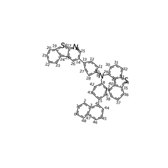 c1ccc2c(-c3ccc(N(c4ccc(-c5cnc6sc7ccccc7c6c5)cc4)c4cccc5sc6ccccc6c45)cc3)cccc2c1